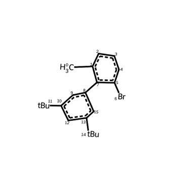 Cc1cccc(Br)c1-c1cc(C(C)(C)C)cc(C(C)(C)C)c1